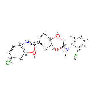 C[C@@H](Oc1ccc(-c2nc3ccc(Cl)cc3o2)cc1)C(=O)N(C)c1ccccc1F